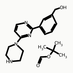 CC(C)(C)OC=O.OCc1cccc(-c2nccc(N3CCNCC3)n2)c1